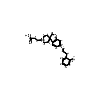 O=C(O)CCN1CCC2(CC1)COc1cc(OCCc3ccccc3F)ccc12